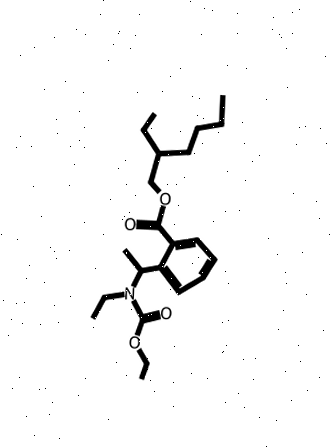 CCCCC(CC)COC(=O)c1ccccc1C(C)N(CC)C(=O)OCC